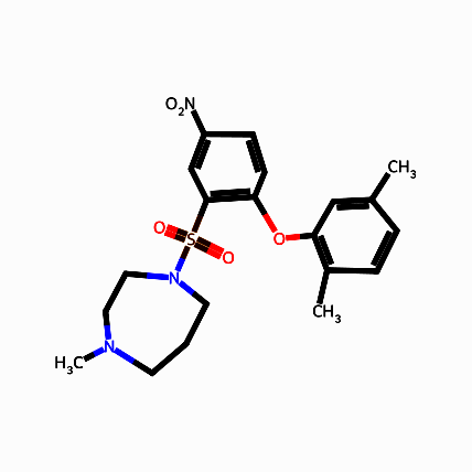 Cc1ccc(C)c(Oc2ccc([N+](=O)[O-])cc2S(=O)(=O)N2CCCN(C)CC2)c1